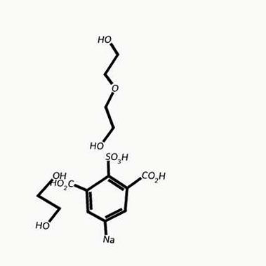 O=C(O)c1c[c]([Na])cc(C(=O)O)c1S(=O)(=O)O.OCCO.OCCOCCO